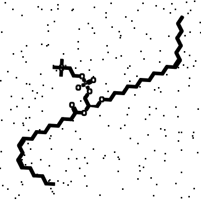 CCCCC/C=C\C/C=C\CCCCCCCC(=O)O[C@H](COCCCCCCCCCC/C=C\CCCCCC)COP(=O)([O-])OCC[N+](C)(C)C